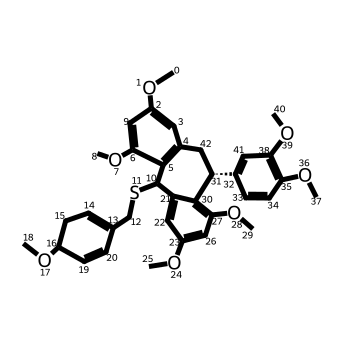 COc1cc2c(c(OC)c1)C(SCC1=CCC(OC)C=C1)c1cc(OC)cc(OC)c1[C@@H](c1ccc(OC)c(OC)c1)C2